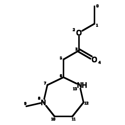 CCOC(=O)CC1CN(C)CCCN1